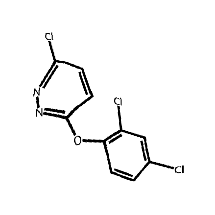 Clc1ccc(Oc2ccc(Cl)nn2)c(Cl)c1